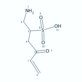 C=CC(=O)CC(CN)S(=O)(=O)O